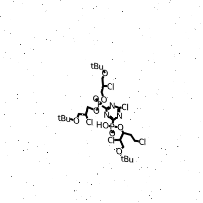 CC(C)(C)OCC(Cl)COP(=O)(OCC(Cl)COC(C)(C)C)c1nc(Cl)nc(P(=O)(O)OC(CCCl)C(Cl)COC(C)(C)C)n1